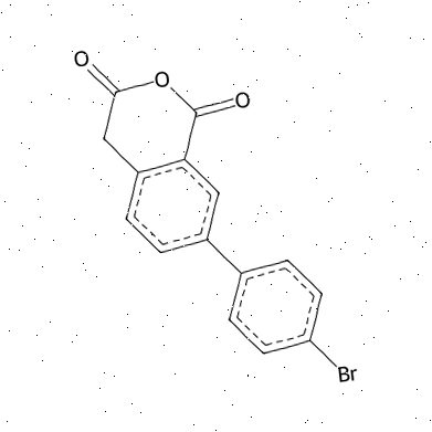 O=C1Cc2ccc(-c3ccc(Br)cc3)cc2C(=O)O1